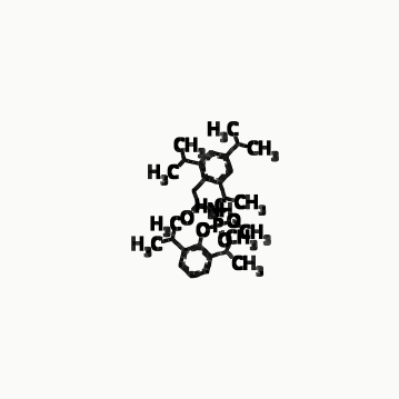 COP(=O)(NC(=O)Cc1c(C(C)C)cc(C(C)C)cc1C(C)C)Oc1c(C(C)C)cccc1C(C)C